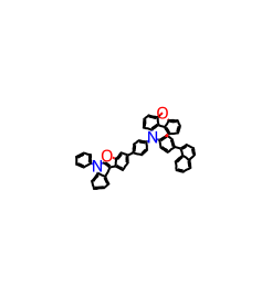 c1ccc(-n2c3ccccc3c3c4ccc(-c5ccc(N(c6ccc(-c7cccc8ccccc78)cc6)c6cccc7oc8ccccc8c67)cc5)cc4oc32)cc1